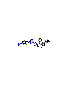 C=C(CC(C)(C)C)c1ccc2nc(CN3CCC(c4nccc(CCc5ccc(C#N)cc5F)n4)CC3)n(CC3CCCC3)c2c1